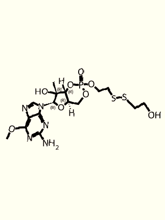 COc1nc(N)nc2c1ncn2[C@@H]1O[C@@H]2COP(=O)(OCCSSCCO)O[C@H]2[C@@]1(C)O